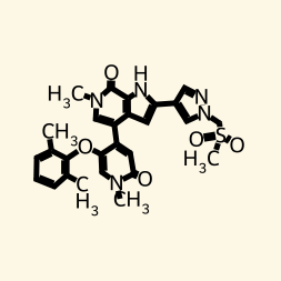 Cc1cccc(C)c1Oc1cn(C)c(=O)cc1-c1cn(C)c(=O)c2[nH]c(-c3cnn(CS(C)(=O)=O)c3)cc12